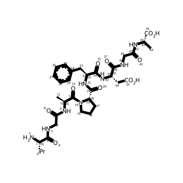 CC(C)[C@H](N)C(=O)NCC(=O)N[C@@H](C)C(=O)N1CCC[C@H]1C(=O)N[C@@H](Cc1ccccc1)C(=O)N[C@@H](CC(=O)O)C(=O)NCC(=O)N[C@@H](C)C(=O)O